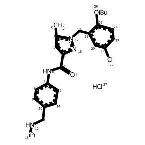 Cc1cc(C(=O)Nc2ccc(CNC(C)C)cc2)nn1Cc1cc(Cl)ccc1OCC(C)C.Cl